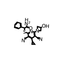 N#Cc1c(SC(C(N)=O)c2ccccc2)nc(N2CC(O)C2)c(C#N)c1C1CC1